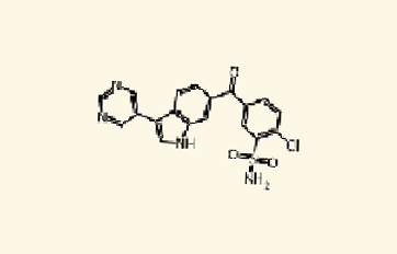 NS(=O)(=O)c1cc(C(=O)c2ccc3c(-c4cncnc4)c[nH]c3c2)ccc1Cl